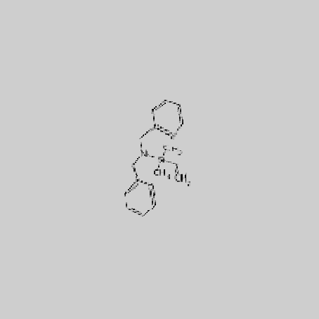 C=C[Si](C)(C)N(Cc1ccccc1)Cc1ccccc1